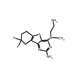 CN(CCN)c1nc(N)nc2c3c(sc12)CCC(F)(F)C3